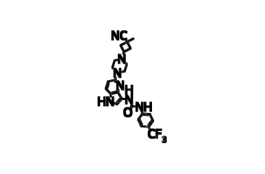 CC1(C#N)CC(N2CCN(c3ccc4[nH]cc(NC(=O)Nc5ccc(C(F)(F)F)cc5)c4n3)CC2)C1